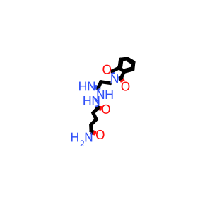 N=C(CCN1C(=O)c2ccccc2C1=O)NNC(=O)CCCC(N)=O